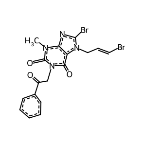 Cn1c(=O)n(CC(=O)c2ccccc2)c(=O)c2c1nc(Br)n2CC=CBr